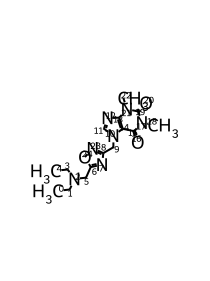 CCN(CC)Cc1nc(Cn2cnc3c2c(=O)n(C)c(=O)n3C)no1